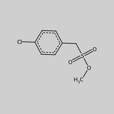 COS(=O)(=O)Cc1ccc(Cl)cc1